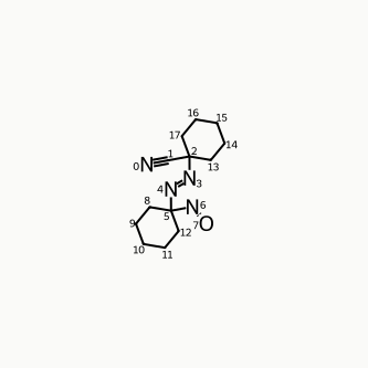 N#CC1(/N=N/C2(N=O)CCCCC2)CCCCC1